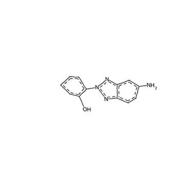 Nc1ccc2nn(-c3ccccc3O)nc2c1